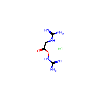 Cl.N=C(N)NCC(=O)ONC(=N)N